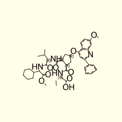 CC[C@H](NC(=O)[C@@H]1C[C@H](Oc2cc(-c3ccccc3)nc3cc(OC)ccc23)C[C@@H]1C(=O)N[C@H](C(=O)NC(C(=O)OC)C1CCCCC1)C(C)C)C(=O)O